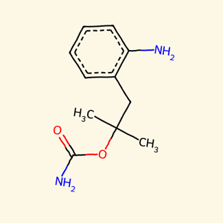 CC(C)(Cc1ccccc1N)OC(N)=O